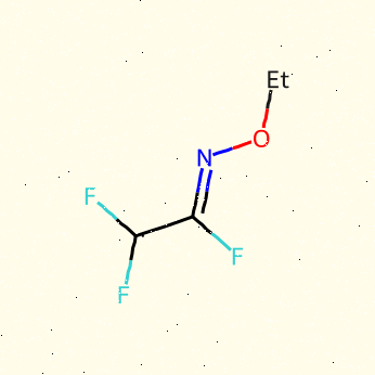 CCON=C(F)[C](F)F